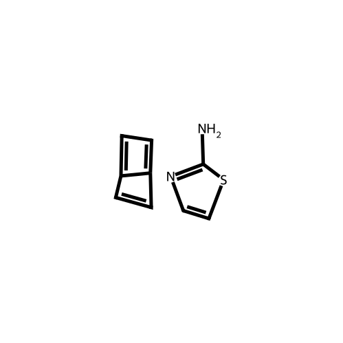 Nc1nccs1.c1cc2ccc1-2